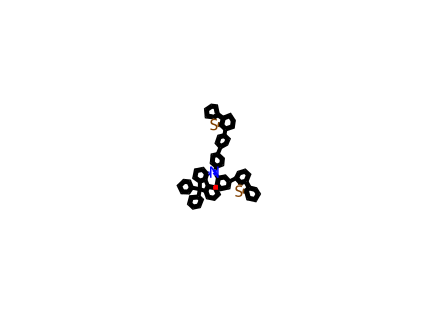 c1ccc(C2(c3ccccc3)c3ccccc3-c3c(N(c4ccc(-c5ccc(-c6cccc7c6sc6ccccc67)cc5)cc4)c4cccc(-c5cccc6c5sc5ccccc56)c4)cccc32)cc1